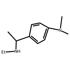 CCNC(C)c1ccc(N(C)C)cc1